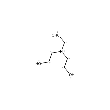 O=C[CH]N(CCO)CCO